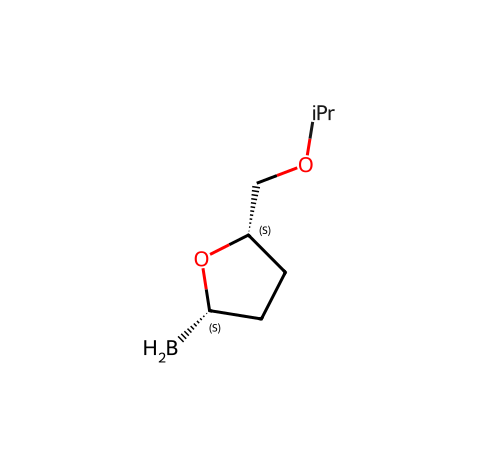 B[C@H]1CC[C@@H](COC(C)C)O1